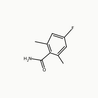 Cc1cc(F)cc(C)c1C(N)=O